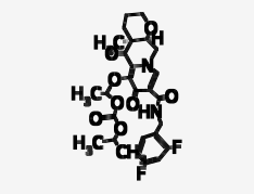 CC(C)OC(=O)OC(C)Oc1c2n(cc(C(=O)NCc3ccc(F)cc3F)c1=O)C[C@@H]1OCCC[C@]1(C)C2=O